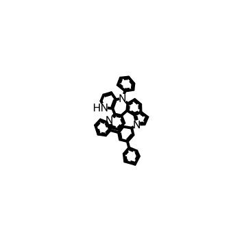 C1=CC2=C(NC1)c1ncccc1-c1c(ccc3ccn(C4C=C(c5ccccc5)C=C(c5ccccc5)C4)c13)N2c1ccccc1